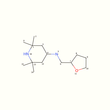 CC1(C)CC([N]CC2CCCO2)CC(C)(C)N1